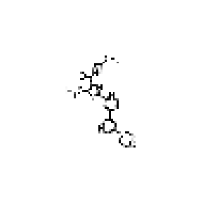 Cc1[nH]c(-c2cc(-c3cncc(N4CCOCC4)c3)ccn2)nc1C(=O)N1CC(C(F)(F)F)C1